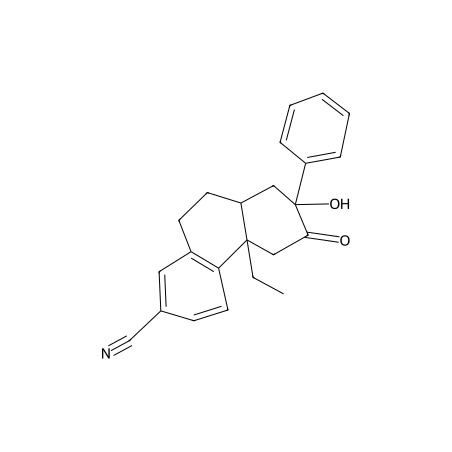 CCC12CC(=O)C(O)(c3ccccc3)CC1CCc1cc(C#N)ccc12